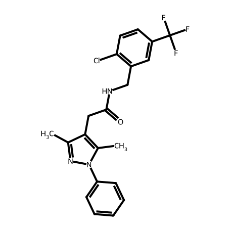 Cc1nn(-c2ccccc2)c(C)c1CC(=O)NCc1cc(C(F)(F)F)ccc1Cl